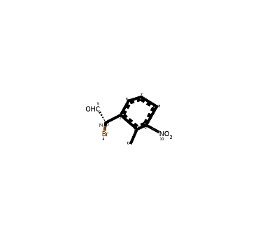 Cc1c([C@H](Br)C=O)cccc1[N+](=O)[O-]